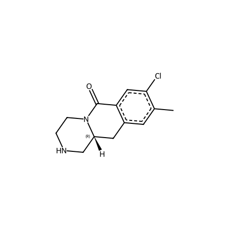 Cc1cc2c(cc1Cl)C(=O)N1CCNC[C@H]1C2